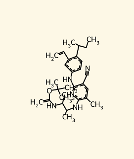 C=Cc1cc(Nc2nc(NC(C)C(C)NC(=C)OC(C)(C)C)c(C)cc2C#N)ccc1C(C)CC